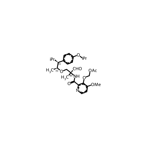 COc1ccnc(C(=O)N[C@@](C)(C=O)CO[C@@H](C)[C@H](c2ccc(OC(C)C)cc2)C(C)C)c1OCOC(C)=O